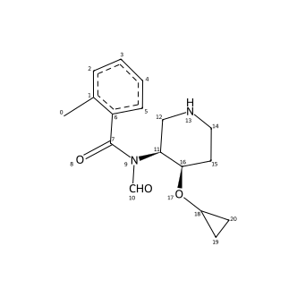 Cc1ccccc1C(=O)N(C=O)[C@H]1CNCC[C@H]1OC1CC1